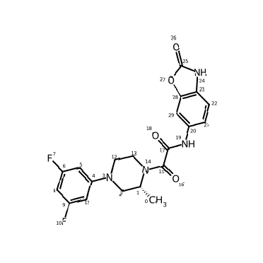 C[C@@H]1CN(c2cc(F)cc(F)c2)CCN1C(=O)C(=O)Nc1ccc2[nH]c(=O)oc2c1